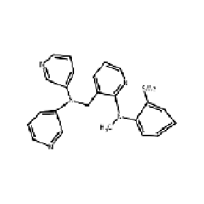 CSc1ccccc1N(C)c1ncccc1CN(c1cccnc1)c1cccnc1